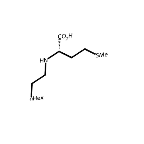 CCCCCCCCN[C@@H](CCSC)C(=O)O